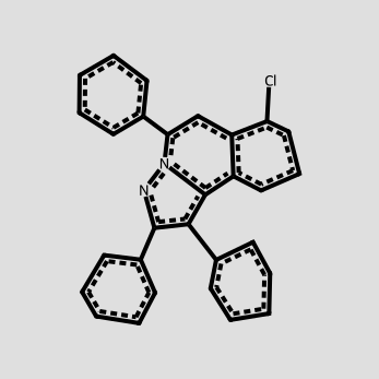 Clc1cccc2c1cc(-c1ccccc1)n1nc(-c3ccccc3)c(-c3ccccc3)c21